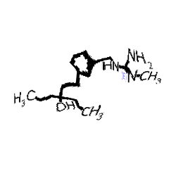 CCCC(O)(CCC)CCc1cccc(CN/C(N)=N/C)c1